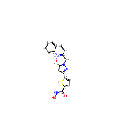 O=C(NO)c1ccc(-c2ccn(Cc3ccc4ccccc4[n+]3[O-])n2)s1